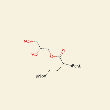 CCCCCCCCCCCC(CCCCC)C(=O)OCC(O)CO